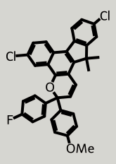 COc1ccc(C2(c3ccc(F)cc3)C=Cc3c4c(c5ccc(Cl)cc5c3O2)-c2ccc(Cl)cc2C4(C)C)cc1